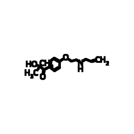 C=CCNCCOc1ccc(C(=O)C(C)(C)O)cc1